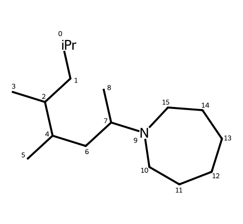 CC(C)CC(C)C(C)CC(C)N1CCCCCC1